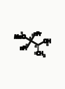 CCCC(CCC)(OC)C(C)O